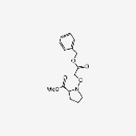 COC(=O)[C@@H]1CCCN1OCC(=O)OCc1ccccc1